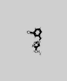 [CH2]c1cn(Cc2cccc(Cl)c2)nn1